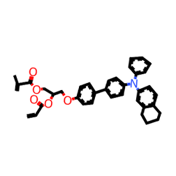 C=CC(=O)OC(COC(=O)C(=C)C)COc1ccc(-c2ccc(N(c3ccccc3)c3ccc4c(c3)CCCC4)cc2)cc1